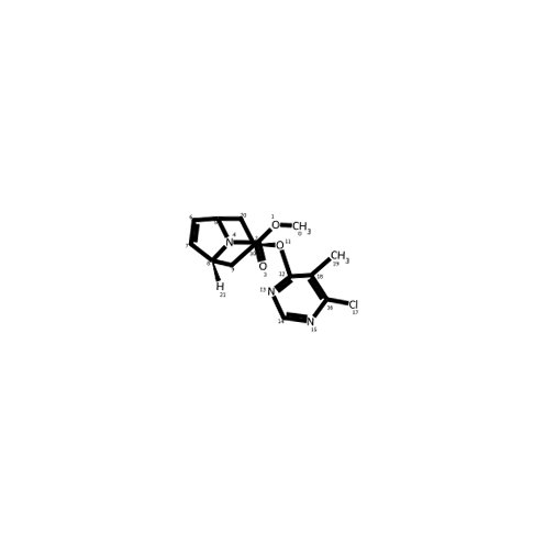 COC(=O)N1C2C=C[C@H]1C[C@H](Oc1ncnc(Cl)c1C)C2